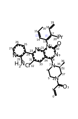 C=CC(=O)N1CCN(c2nc(=O)n(C(/C=C\C)=C(/C=C)C(C)C)c3nc(-c4cccnc4N)c(Cl)cc23)[C@@H](C)C1